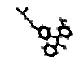 CCC(=C(c1ccc(OCCN(C)C)cc1)c1cccc(C=O)c1)c1ccccc1